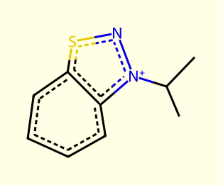 CC(C)[n+]1nsc2ccccc21